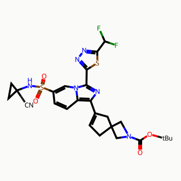 CC(C)(C)OC(=O)N1CC2(CC=C(c3nc(-c4nnc(C(F)F)s4)n4cc(S(=O)(=O)NC5(C#N)CC5)ccc34)C2)C1